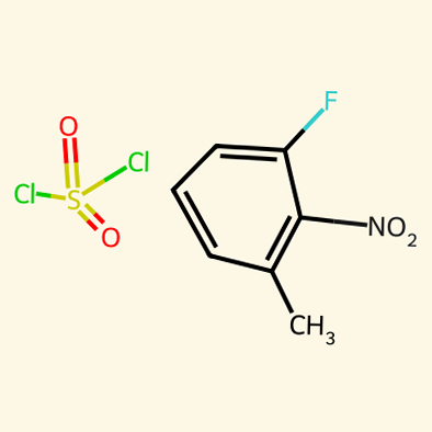 Cc1cccc(F)c1[N+](=O)[O-].O=S(=O)(Cl)Cl